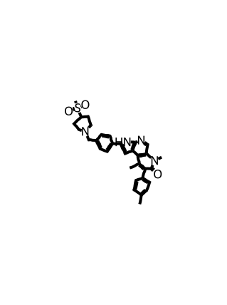 Cc1ccc(-c2c(C)c3c4cc(-c5ccc(CN6CCC(S(C)(=O)=O)CC6)cc5)[nH]c4ncc3n(C)c2=O)cc1